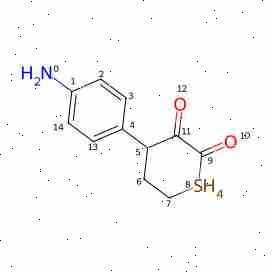 Nc1ccc(C2CC[SH4]C(=O)C2=O)cc1